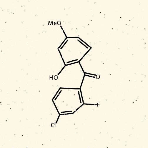 COc1ccc(C(=O)c2ccc(Cl)cc2F)c(O)c1